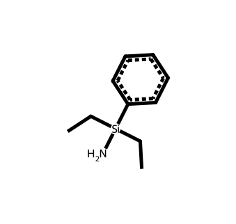 CC[Si](N)(CC)c1ccccc1